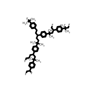 CC(C)(F)c1ccc(CCC(CCC(C)(C)c2ccc(C(CCCF)CC(C)(C)c3ccc(C(F)CF)cc3)cc2)c2ccc(C(C)(C)CC(CF)c3ccc(C(C)(C)CF)cc3)cc2)cc1